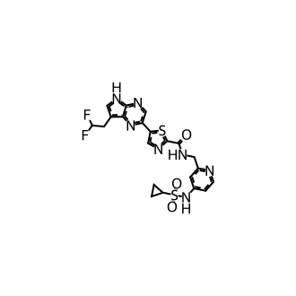 O=C(NCc1cc(NS(=O)(=O)C2CC2)ccn1)c1ncc(-c2cnc3[nH]cc(CC(F)F)c3n2)s1